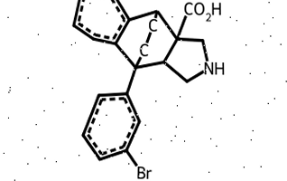 O=C(O)C12CNCC1C1(c3cccc(Br)c3)CCC2c2ccccc21